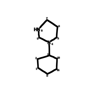 C1CCC(N2CCCNC2)CC1